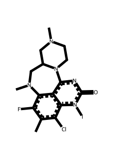 Cc1c(F)c2c3c(nc(=O)n(I)c3c1Cl)N1CCN(C)CC1CN2C